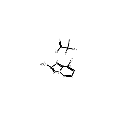 O=C(O)C(F)(F)F.O=C(O)c1cn2cccc(Cl)c2n1